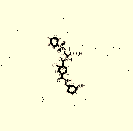 O=C(NCc1cccc(O)c1)c1ccc(C(=O)NC(CNS(=O)(=O)c2ccccc2)C(=O)O)c(Cl)c1